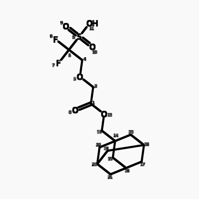 O=C(COCC(F)(F)S(=O)(=O)O)OCC12CC3CC(CC(C3)C1)C2